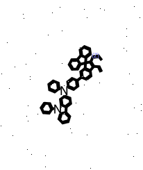 C=CC1=C(/C=C\C)C2(c3cc(-c4ccc(N(c5ccccc5)c5ccc6c7ccccc7n(-c7ccccc7)c6c5)cc4)ccc31)c1ccccc1-c1ccccc12